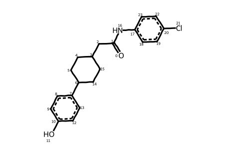 O=C(CC1CCC(c2ccc(O)cc2)CC1)Nc1ccc(Cl)cc1